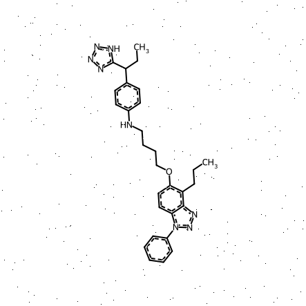 CCCc1c(OCCCCNc2ccc(C(CC)c3nnn[nH]3)cc2)ccc2c1nnn2-c1ccccc1